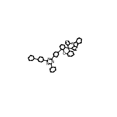 c1ccc(-c2ccc(-c3nc(-c4ccccc4)nc(-c4ccc(-c5cccc6c5Oc5ccccc5C65c6ccccc6-n6c7ccccc7c7cccc5c76)cc4)n3)cc2)cc1